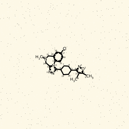 Cc1onc(C2CCC(c3nnc4n3-c3ccc(Cl)cc3CN(C)C4)CC2)c1C